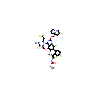 CC(O)[C@H]1COc2c(Cl)c(-c3ccc(F)c4sc(NC(=O)OC(C)(C)C)c(C#N)c34)c(F)c3nc(OC[C@@]45CCCN4C[C@H](F)C5)nc(c23)N1CCC(F)F